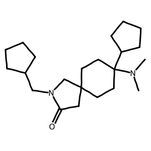 CN(C)C1(C2CCCC2)CCC2(CC1)CC(=O)N(CC1CCCC1)C2